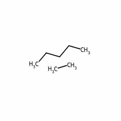 CC.CCCCC